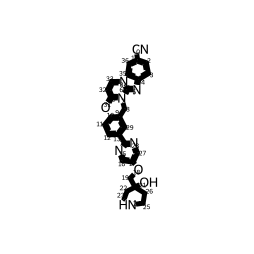 N#Cc1ccc2nc3n(Cc4cccc(-c5ncc(OCC6(O)CCNCC6)cn5)c4)c(=O)ccn3c2c1